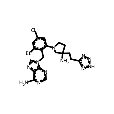 CCc1cc(Cl)cc(N2CCC(N)(CCc3nn[nH]n3)C2)c1Cn1cnc2c(N)ncnc21